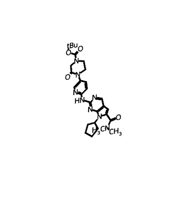 CN(C)C(=O)c1cc2cnc(Nc3ccc(N4CCN(C(=O)OC(C)(C)C)CC4=O)cn3)nc2n1C1CCCC1